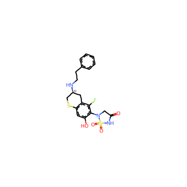 O=C1CN(c2c(O)cc3c(c2F)C[C@H](NCCc2ccccc2)CS3)S(=O)(=O)N1